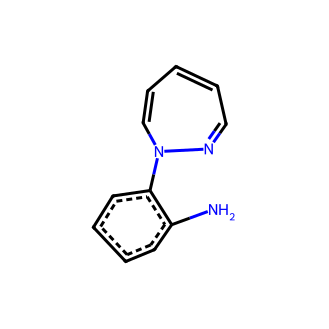 Nc1ccccc1N1C=CC=CC=N1